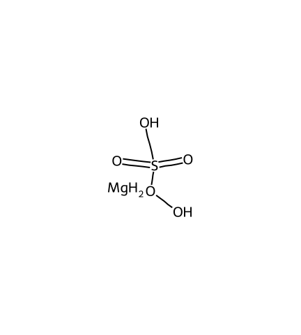 O=S(=O)(O)OO.[MgH2]